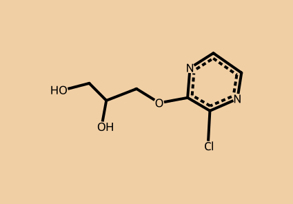 OCC(O)COc1nccnc1Cl